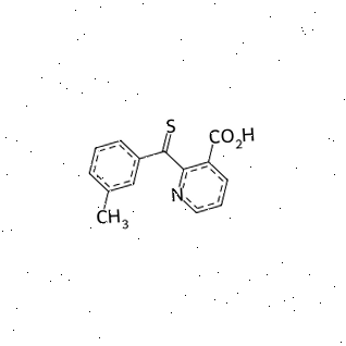 Cc1cccc(C(=S)c2ncccc2C(=O)O)c1